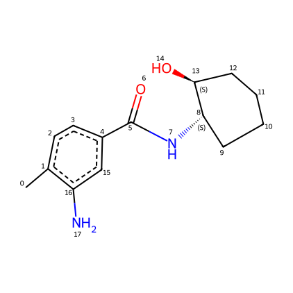 Cc1ccc(C(=O)N[C@H]2CCCC[C@@H]2O)cc1N